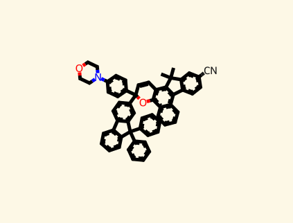 CC1(C)c2cc(C#N)ccc2-c2c1c1c(c3ccccc23)OC(c2ccc(N3CCOCC3)cc2)(c2ccc3c(c2)C(c2ccccc2)(c2ccccc2)c2ccccc2-3)C=C1